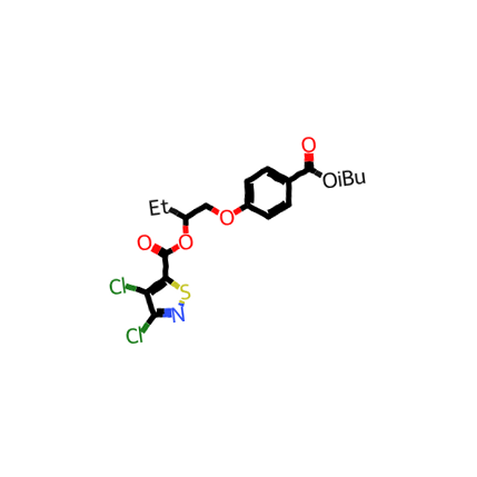 CCC(COc1ccc(C(=O)OCC(C)C)cc1)OC(=O)c1snc(Cl)c1Cl